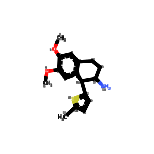 COc1cc2c(cc1OC)C(c1ccc(C)s1)C(N)CC2